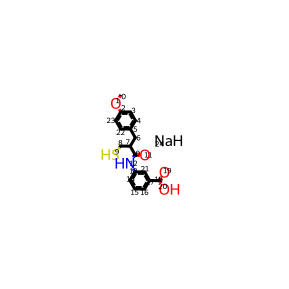 COc1ccc(CC(CS)C(=O)Nc2cccc(C(=O)O)c2)cc1.[NaH]